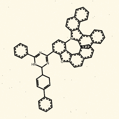 C1=CC(C2N=C(c3ccc(-n4c5ccc6ccccc6c5c5c6ccccc6ccc54)c4c3oc3ccc5ccccc5c34)N=C(c3ccccc3)N2)CC=C1c1ccccc1